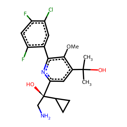 COc1c(C(C)(C)O)cc([C@@](O)(CN)C2CC2)nc1-c1cc(Cl)c(F)cc1F